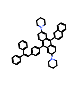 C(=C(c1ccccc1)c1ccccc1)c1ccc(-c2c3c(c(-c4ccc5ccccc5c4)c4cc(N5CCCCC5)ccc24)=CCC(N2CCCCC2)C=3)cc1